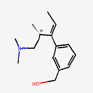 CC=C(c1cccc(CO)c1)[C@@H](C)CN(C)C